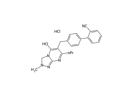 CCCC1=NC2=NN(C)CN2C(O)=C1Cc1ccc(-c2ccccc2C#N)cc1.Cl